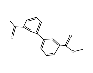 COC(=O)c1cccc(-c2cccc(C(C)=O)c2)c1